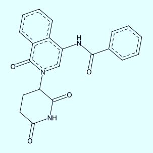 O=C1CCC(n2cc(NC(=O)c3ccccc3)c3ccccc3c2=O)C(=O)N1